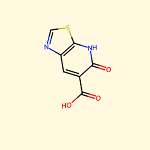 O=C(O)c1cc2ncsc2[nH]c1=O